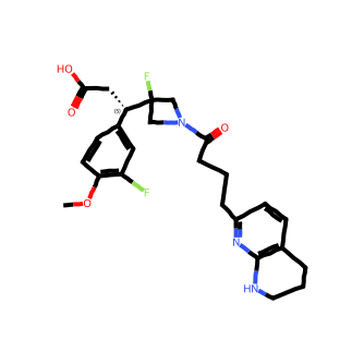 COc1ccc([C@H](CC(=O)O)C2(F)CN(C(=O)CCCc3ccc4c(n3)NCCC4)C2)cc1F